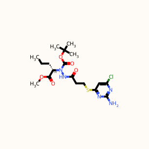 CCC[C@@H](C(=O)OC)N(NC(=O)CCSc1cc(Cl)nc(N)n1)C(=O)OC(C)(C)C